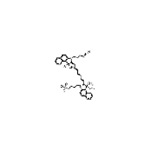 CC1(C)C(/C=C/C=C/C=C/C=C2/N(CCCN=[N+]=[N-])c3ccc4ccccc4c3C2(C)C)=[N+](CCCCS(=O)(=O)[O-])c2ccc3ccccc3c21